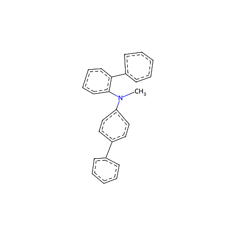 CN(c1ccc(-c2ccccc2)cc1)c1ccccc1-c1ccccc1